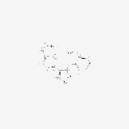 COc1ccccc1Cn1cnnc1-c1ccc2[nH]cnc2c1